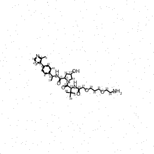 Cc1ncsc1-c1ccc(C(C)NC(=O)C2CC(O)CN2C(=O)C(NC(=O)COCCCOCCN)C(C)(C)C)cc1